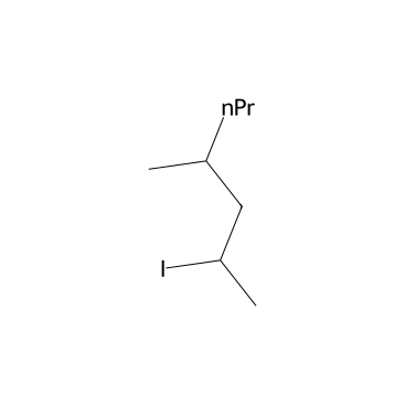 CCCC(C)CC(C)I